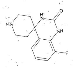 O=C1Nc2c(F)cccc2C2(CCNCC2)N1